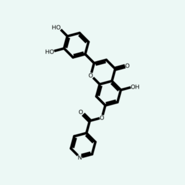 O=C(Oc1cc(O)c2c(=O)cc(-c3ccc(O)c(O)c3)oc2c1)c1ccncc1